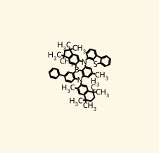 Cc1cc2c3c(c1)N(c1cccc4c1sc1ccccc14)c1cc4c(cc1B3c1cc(-c3ccccc3)ccc1N2c1cc2c(cc1C)C(C)(C)CCC2(C)C)C(C)(C)CC4(C)C